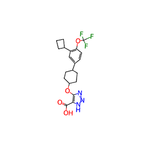 O=C(O)c1[nH]nnc1OC1CCC(c2ccc(OC(F)(F)F)c(C3CCC3)c2)CC1